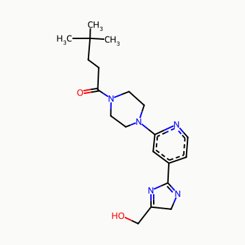 CC(C)(C)CCC(=O)N1CCN(c2cc(C3=NCC(CO)=N3)ccn2)CC1